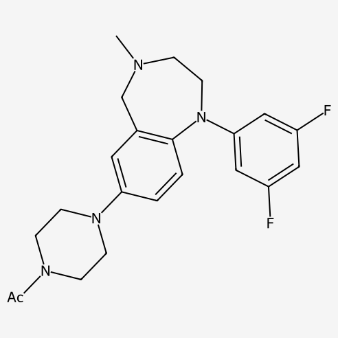 CC(=O)N1CCN(c2ccc3c(c2)CN(C)CCN3c2cc(F)cc(F)c2)CC1